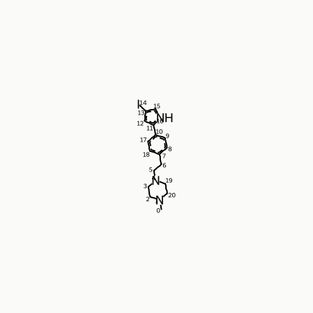 CN1CCN(CCc2ccc(-c3cc(I)c[nH]3)cc2)CC1